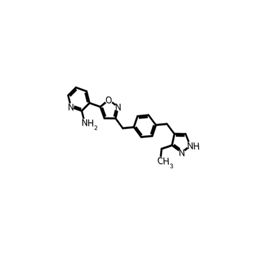 CCc1n[nH]cc1Cc1ccc(Cc2cc(-c3cccnc3N)on2)cc1